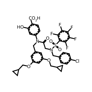 O=C(O)c1ccc(N(Cc2cc(OCC3CC3)cc(OCC3CC3)c2)C(=O)CN(Cc2ccc(Cl)cc2)S(=O)(=O)c2c(F)c(F)c(F)c(F)c2F)cc1O